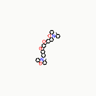 COc1ccccc1N(c1ccc2cc3c(cc2c1)oc1cc2oc4cc5cc(N(c6ccccc6C)c6ccccc6OC)ccc5cc4c2cc13)c1ccccc1C